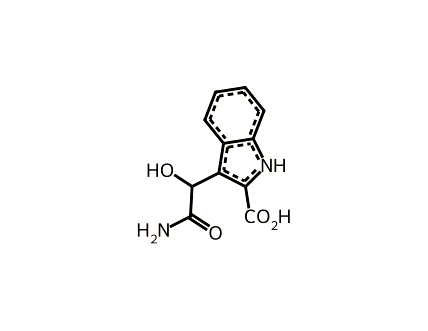 NC(=O)C(O)c1c(C(=O)O)[nH]c2ccccc12